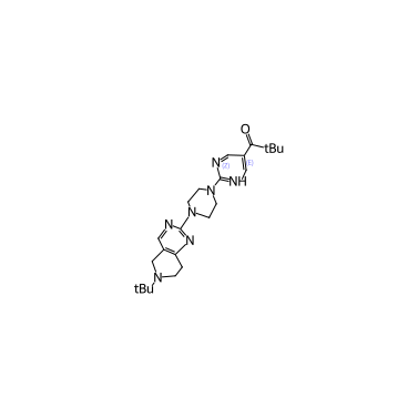 C/C=C(\C=N/C(=N)N1CCN(c2ncc3c(n2)CCN(C(C)(C)C)C3)CC1)C(=O)C(C)(C)C